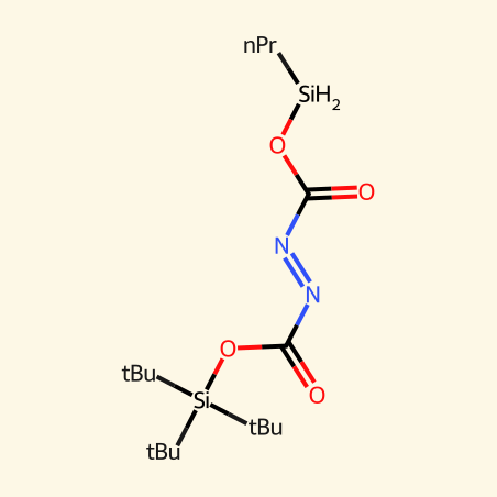 CCC[SiH2]OC(=O)N=NC(=O)O[Si](C(C)(C)C)(C(C)(C)C)C(C)(C)C